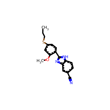 CCCSc1ccc(-c2nc3cc(C#N)ccc3[nH]2)c(OC)c1